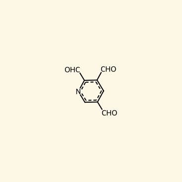 O=Cc1cnc(C=O)c(C=O)c1